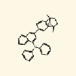 CC12CCC(C)(O1)c1cc(-c3cc(N(c4ccccc4)c4ccccc4)c4ccccc4c3)ccc12